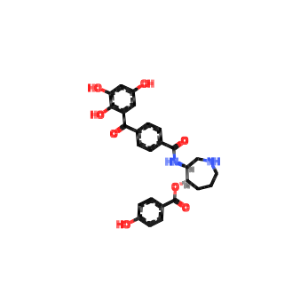 O=C(N[C@H]1CNCCC[C@@H]1OC(=O)c1ccc(O)cc1)c1ccc(C(=O)c2cc(O)cc(O)c2O)cc1